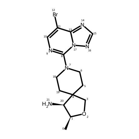 C[C@@H]1OCC2(CCN(c3ncc(Br)c4ncnn34)CC2)[C@@H]1N